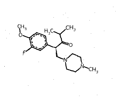 COc1ccc([C@H](CN2CCN(C)CC2)C(=O)C(C)C)cc1F